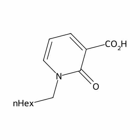 CCCCCCCn1cccc(C(=O)O)c1=O